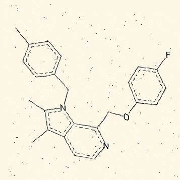 Cc1ccc(Cn2c(C)c(C)c3ccnc(COc4ccc(F)cc4)c32)cc1